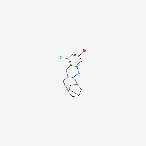 Clc1cc(Br)cc2c1CN1C(=N2)C2CC3CC(C2)CC1C3